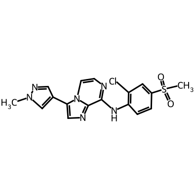 Cn1cc(-c2cnc3c(Nc4ccc(S(C)(=O)=O)cc4Cl)nccn23)cn1